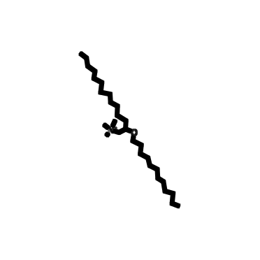 CCCCCCCCCCCCOC(CCCCCCCCCCCC)C[N+](C)(C)C